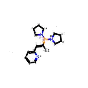 CC/C(=C\c1ccccn1)P(N1CCCC1)N1CCCC1